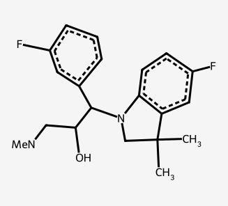 CNCC(O)C(c1cccc(F)c1)N1CC(C)(C)c2cc(F)ccc21